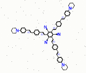 N#Cc1c(/C=C/c2ccc(/C=C/c3ccc(N4CCCCC4)cc3)cc2)c(C#N)c(/C=C/c2ccc(/C=C/c3ccc(N4CCCCC4)cc3)cc2)c(C#N)c1/C=C/c1ccc(/C=C/c2ccc(N3CCCCC3)cc2)cc1